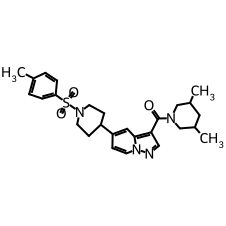 Cc1ccc(S(=O)(=O)N2CCC(c3ccn4ncc(C(=O)N5CC(C)CC(C)C5)c4c3)CC2)cc1